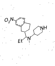 CCC(C1CCc2ccc([N+](=O)[O-])cc2C1)N(C)C1CCNCC1